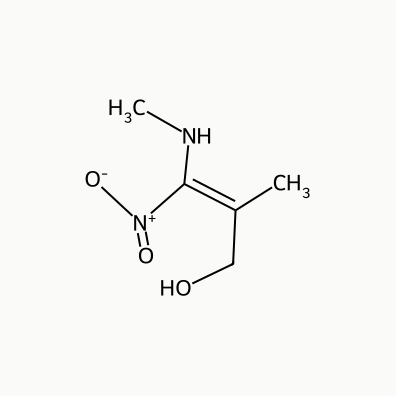 CN/C(=C(\C)CO)[N+](=O)[O-]